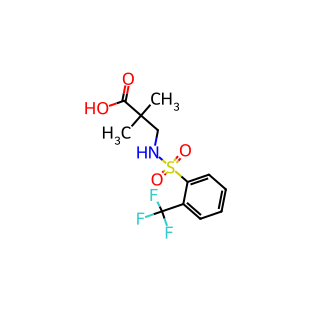 CC(C)(CNS(=O)(=O)c1ccccc1C(F)(F)F)C(=O)O